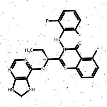 CC[C@H](Nc1ncnc2c1NCN2)c1nc2cccc(F)c2c(=O)n1Nc1c(F)cccc1F